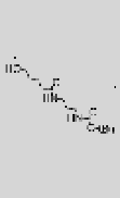 CC(C)(C)OC(=O)NCCCNC(=O)CCCCO